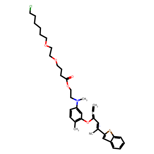 C=C=C(/C=C(\C#N)c1cc2ccccc2s1)Oc1cc(N(C)CCOC(=O)CCCOCCOCCCCCCCl)ccc1C